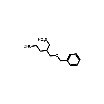 O=CCCC(COCc1ccccc1)CS(=O)(=O)O